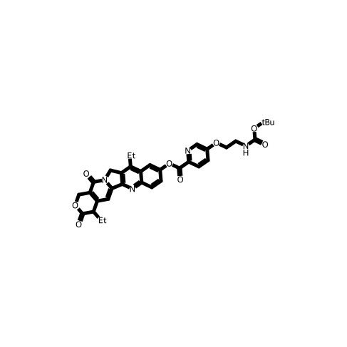 CCc1c2c(nc3ccc(OC(=O)c4ccc(OCCNC(=O)OC(C)(C)C)cn4)cc13)-c1cc3c(c(=O)n1C2)COC(=O)C3CC